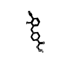 COC(=O)N1CCN(Cc2cccc(C#N)c2F)CC1